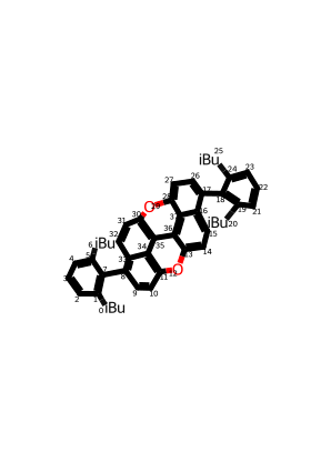 CCC(C)c1cccc(C(C)CC)c1-c1ccc2oc3ccc4c(-c5c(C(C)CC)cccc5C(C)CC)ccc5oc6ccc1c2c6-c3c54